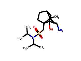 CC(C)N(C(C)C)S(=O)(=O)CC12CCC(CC1(O)CN)C2(C)C